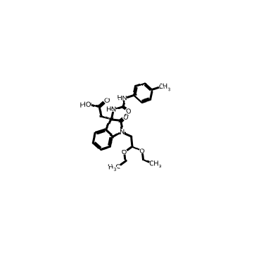 CCOC(CN1C(=O)[C@@](CC(=O)O)(NC(=O)Nc2ccc(C)cc2)c2ccccc21)OCC